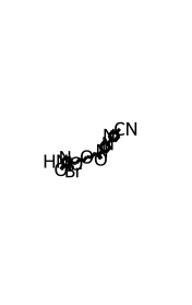 N#Cc1ccc(N2CCN(C(=O)CCOCCOc3cn[nH]c(=O)c3Br)CC2)nc1